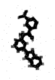 CN(C)c1cccc(C(=O)Nc2cncc(-c3nc4ncccc4o3)c2)c1